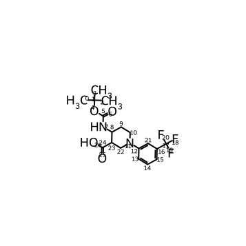 CC(C)(C)OC(=O)NC1CCN(c2cccc(C(F)(F)F)c2)CC1C(=O)O